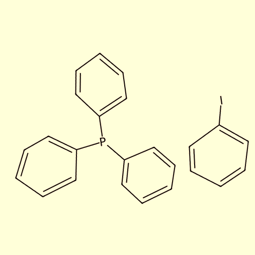 Ic1ccccc1.c1ccc(P(c2ccccc2)c2ccccc2)cc1